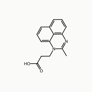 CC1=Nc2cccc3cccc(c23)N1CCC(=O)O